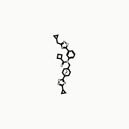 O=C(C1CCC1)N(CC12CCC(c3nc(C4CC4)no3)(CC1)CC2)c1cccc(-c2nc(CC3CC3)no2)c1